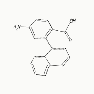 Nc1ccc(C(=O)O)c(-c2cccc3ccccc23)c1